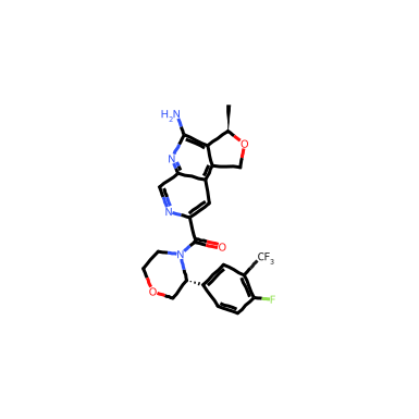 C[C@H]1OCc2c1c(N)nc1cnc(C(=O)N3CCOC[C@H]3c3ccc(F)c(C(F)(F)F)c3)cc21